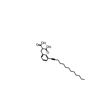 CCCCCCCCCCCC#Cc1cccc(CC(C(=O)O)C(=O)O)c1